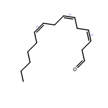 CCCCC/C=C\C/C=C\C/C=C\CC=O